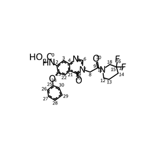 O=C(O)Nc1cc2ncn(CC(=O)N3CCCC(F)(F)C3)c(=O)c2cc1Oc1ccccc1